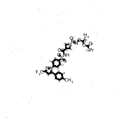 Cc1ccc(-c2cc(C(F)(F)F)nn2-c2ccc(S(=O)(=O)NC(=O)C3CN([N+]([O-])=NOC(C)OC(=O)C(C)C)C3)cc2)cc1